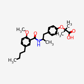 CCCCc1ccc(OC)c(C(=O)NC(C)Cc2ccc(OC(C)(C)C(=O)O)cc2)c1